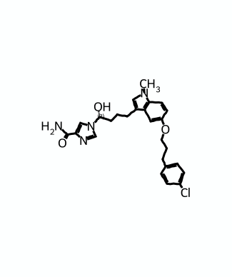 Cn1cc(CCC[C@@H](O)n2cnc(C(N)=O)c2)c2cc(OCCCc3ccc(Cl)cc3)ccc21